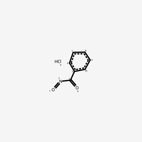 Cl.O=NC(=O)c1ccccc1